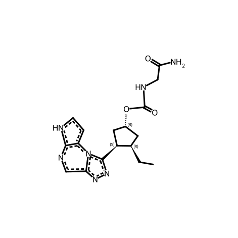 CC[C@@H]1C[C@@H](OC(=O)NCC(N)=O)C[C@@H]1c1nnc2cnc3[nH]ccc3n12